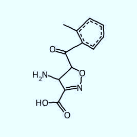 Cc1ccccc1C(=O)C1ON=C(C(=O)O)C1N